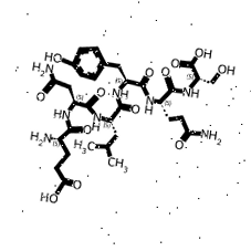 CC(C)C[C@H](NC(=O)[C@H](CC(N)=O)NC(=O)[C@@H](N)CCC(=O)O)C(=O)N[C@@H](Cc1ccc(O)cc1)C(=O)N[C@@H](CCC(N)=O)C(=O)N[C@@H](CO)C(=O)O